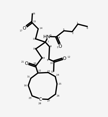 CCCCC(=O)NC(CCC(C)=O)(CCC(C)=O)CCC(=O)C1CCCCCCCCC1